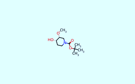 CO[C@@H]1CN(C(=O)OC(C)(C)C)CC[C@@H]1O